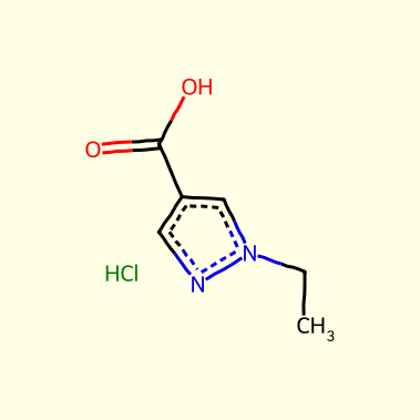 CCn1cc(C(=O)O)cn1.Cl